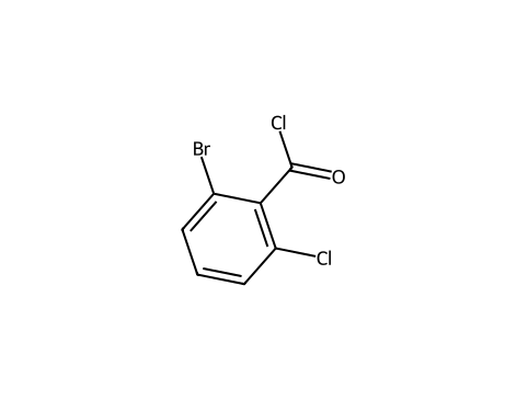 O=C(Cl)c1c(Cl)cccc1Br